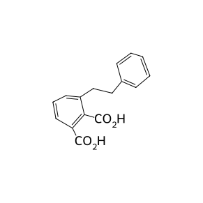 O=C(O)c1cccc(CCc2ccccc2)c1C(=O)O